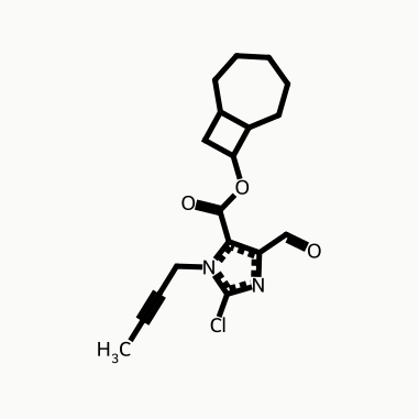 CC#CCn1c(Cl)nc(C=O)c1C(=O)OC1CC2CCCCCC21